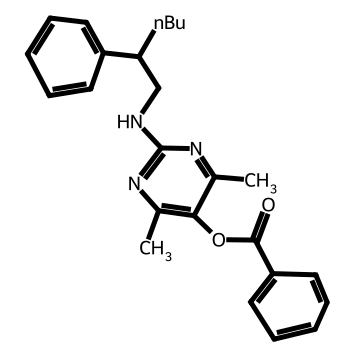 CCCCC(CNc1nc(C)c(OC(=O)c2ccccc2)c(C)n1)c1ccccc1